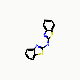 c1ccc2sc([N]c3nc4ccccc4s3)nc2c1